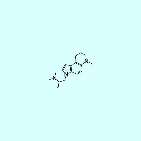 C[C@H](Cn1ccc2c3c(ccc21)N(C)CCC3)N(C)C